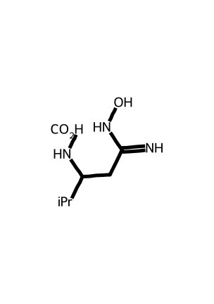 CC(C)C(CC(=N)NO)NC(=O)O